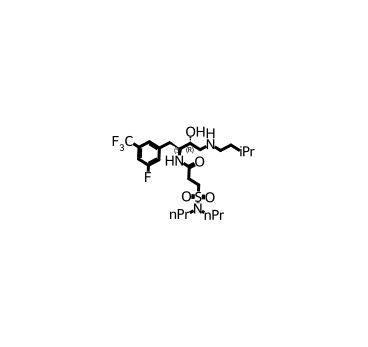 CCCN(CCC)S(=O)(=O)CCC(=O)N[C@@H](Cc1cc(F)cc(C(F)(F)F)c1)[C@H](O)CNCCC(C)C